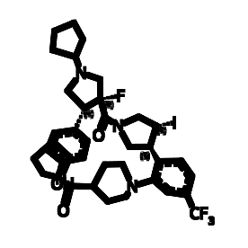 O=C(C1CCN(c2cc(C(F)(F)F)ccc2[C@H]2CN(C(=O)[C@]3(F)CN(C4CCCC4)C[C@H]3c3ccc(O)cc3)C[C@@H]2I)CC1)N1CCCC1